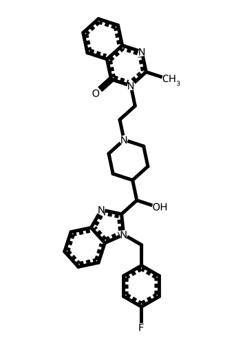 Cc1nc2ccccc2c(=O)n1CCN1CCC(C(O)c2nc3ccccc3n2Cc2ccc(F)cc2)CC1